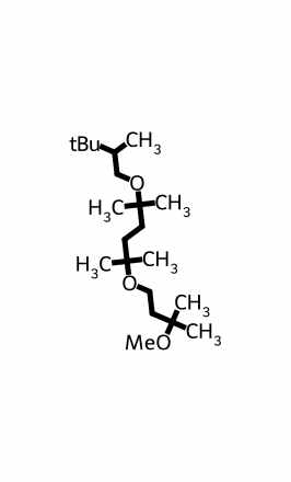 COC(C)(C)CCOC(C)(C)CCC(C)(C)OCC(C)C(C)(C)C